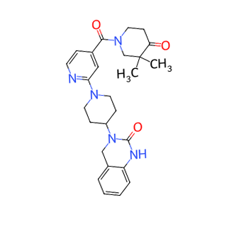 CC1(C)CN(C(=O)c2ccnc(N3CCC(N4Cc5ccccc5NC4=O)CC3)c2)CCC1=O